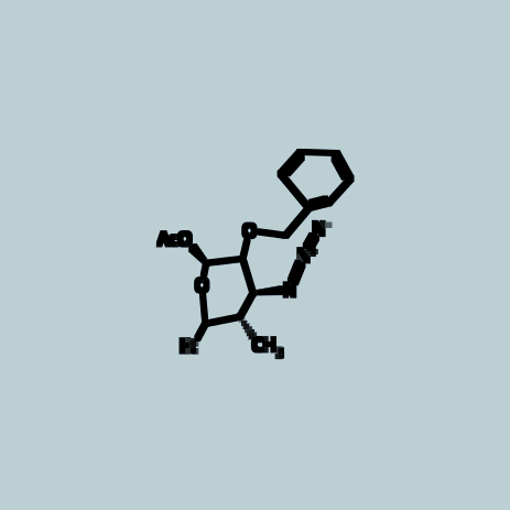 CCC1O[C@@H](OC(C)=O)C(OCc2ccccc2)[C@@H](N=[N+]=[N-])[C@@H]1C